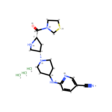 Cl.Cl.Cl.N#Cc1ccc(NC2CCN([C@@H]3CN[C@H](C(=O)N4CCSC4)C3)CC2)nc1